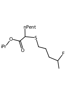 CCCCCC(SCCCC(C)F)C(=O)OC(C)C